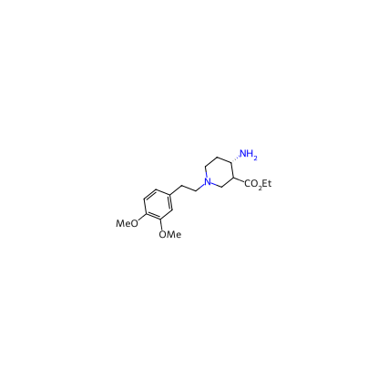 CCOC(=O)C1CN(CCc2ccc(OC)c(OC)c2)CC[C@@H]1N